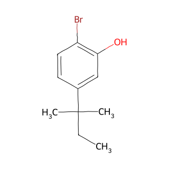 CCC(C)(C)c1ccc(Br)c(O)c1